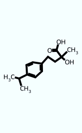 CC(C)c1ccc(CCC(C)(O)C(=O)O)cc1